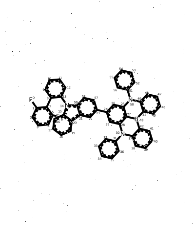 Fc1cccc(F)c1-c1ccccc1-n1c2ccccc2c2cc(-c3cc4c5c(c3)N(c3ccccc3)c3ccccc3B5c3ccccc3N4c3ccccc3)ccc21